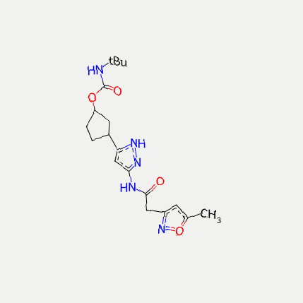 Cc1cc(CC(=O)Nc2cc(C3CCC(OC(=O)NC(C)(C)C)C3)[nH]n2)no1